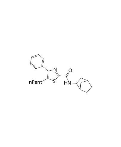 CCCCCc1sc(C(=O)NC2CC3CCC2C3)nc1-c1ccccc1